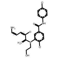 C=C(/C(Cl)=C\C=C/N)N(CCO)c1cc(C(=O)Nc2ccc(Cl)cc2)ccc1Cl